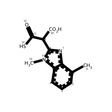 Cc1cccc2c1nc(C(C(=O)O)C(=O)S)n2C